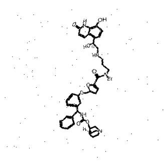 CCN(CCCNC[C@@H](O)c1ccc(O)c2[nH]c(=O)ccc12)C(=O)c1ccc(COc2cccc(C(NC(=O)O[C@H]3CN4CCC3CC4)c3ccccc3)c2)o1